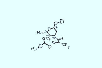 C[C@@H]1O[C@@H](OCl)C[C@H](NC(=O)C(F)(F)F)[C@@H]1OOC(=O)C(F)(F)F